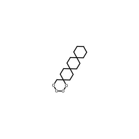 C1CCC2(CC1)CCC1(CC2)CCC2(CC1)COOOO2